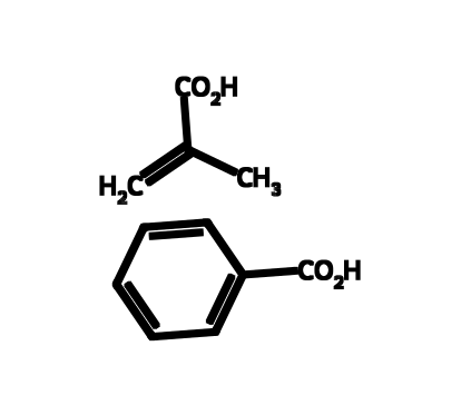 C=C(C)C(=O)O.O=C(O)c1ccccc1